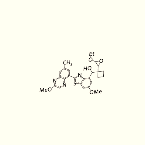 CCOC1OC1C1(C(O)c2cc(OC)cc3sc(-c4cc(C)cc5nc(OC)cnc45)nc23)CCC1